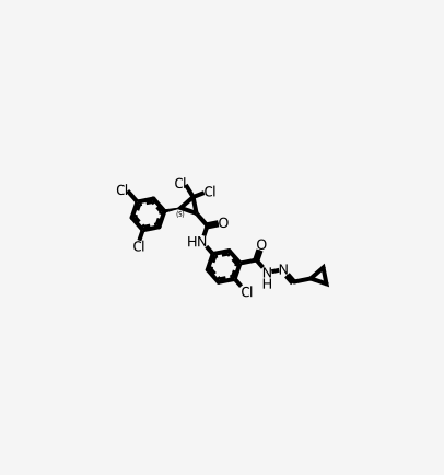 O=C(NN=CC1CC1)c1cc(NC(=O)C2[C@@H](c3cc(Cl)cc(Cl)c3)C2(Cl)Cl)ccc1Cl